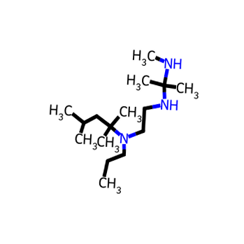 CCCN(CCNC(C)(C)NC)C(C)(C)CC(C)C